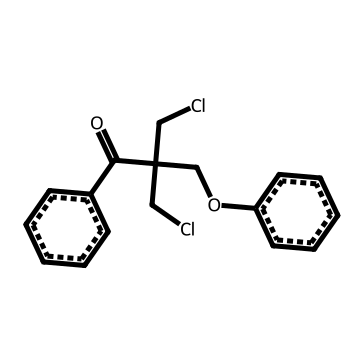 O=C(c1ccccc1)C(CCl)(CCl)COc1ccccc1